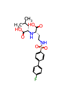 CC(C)C[C@H](N[C@@H](CCNS(=O)(=O)c1ccc(-c2ccc(F)cc2)cc1)C(=O)O)C(=O)O